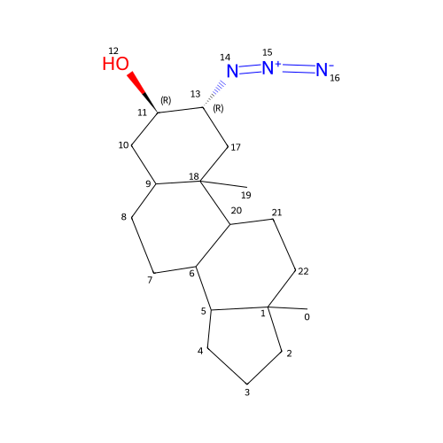 CC12CCCC1C1CCC3C[C@@H](O)[C@H](N=[N+]=[N-])CC3(C)C1CC2